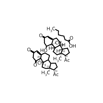 CC(=O)[C@H]1CCC2C3CCC4=CC(=O)CC(=O)[C@]4(C)C3CC[C@@]21C.CC(=O)[C@H]1CC[C@H]2[C@@H]3CCC4=CC(=O)CC(O)[C@]4(C)[C@H]3CC[C@]12C.CCCCCC(=O)O